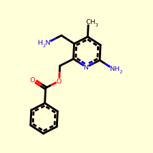 Cc1cc(N)nc(COC(=O)c2ccccc2)c1CN